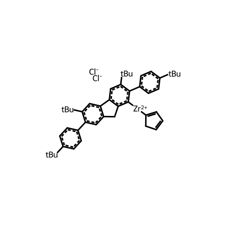 CC(C)(C)c1ccc(-c2cc3c(cc2C(C)(C)C)-c2cc(C(C)(C)C)c(-c4ccc(C(C)(C)C)cc4)[c]([Zr+2][C]4=CC=CC4)c2C3)cc1.[Cl-].[Cl-]